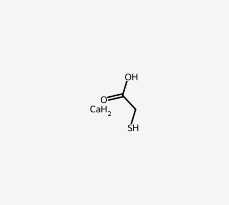 O=C(O)CS.[CaH2]